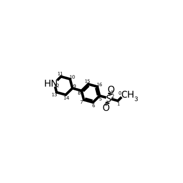 CCS(=O)(=O)c1ccc(C2CCNCC2)cc1